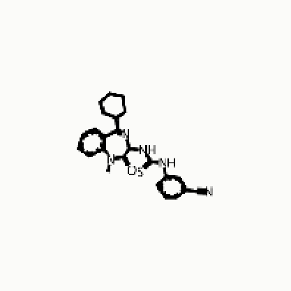 CN1C(=O)C(NC(=S)Nc2cccc(C#N)c2)N=C(C2CCCCC2)c2ccccc21